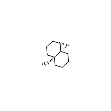 N[C@]12CCCC[C@@H]1NCCC2